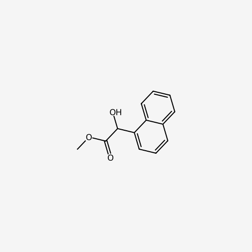 COC(=O)C(O)c1cccc2ccccc12